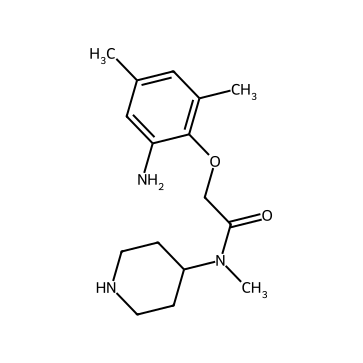 Cc1cc(C)c(OCC(=O)N(C)C2CCNCC2)c(N)c1